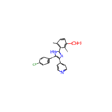 Cc1ccc(O)c(C)c1-c1nc(-c2ccncc2)c(-c2ccc(Cl)cc2)[nH]1